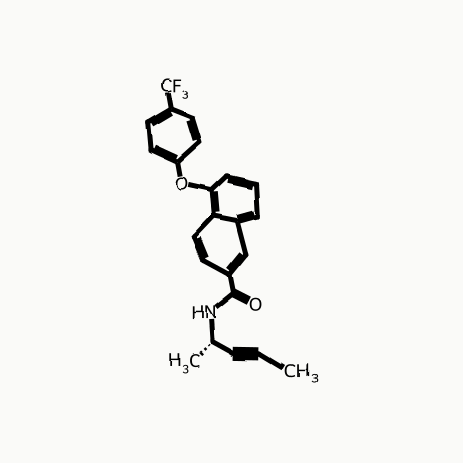 CC#C[C@H](C)NC(=O)c1ccc2c(Oc3ccc(C(F)(F)F)cc3)cccc2c1